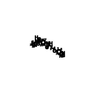 O=C(CCCOc1ccc2nonc2c1)Nc1ccc(S(=O)(=O)Nc2nccs2)cc1